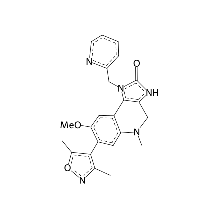 COc1cc2c(cc1-c1c(C)noc1C)N(C)Cc1[nH]c(=O)n(Cc3ccccn3)c1-2